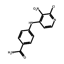 NC(=O)c1ccc(Nc2ccnc(Cl)c2[N+](=O)[O-])cc1